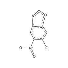 O=[N+]([O-])c1cc2ncoc2cc1Cl